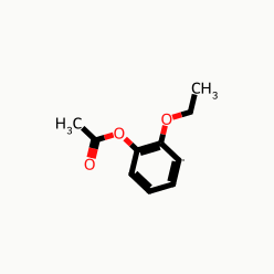 CCOc1[c]cccc1OC(C)=O